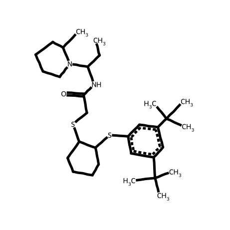 CCC(NC(=O)CSC1CCCCC1Sc1cc(C(C)(C)C)cc(C(C)(C)C)c1)N1CCCCC1C